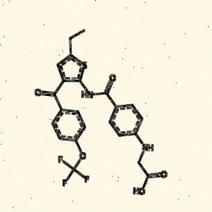 CCc1cc(C(=O)c2ccc(OC(F)(F)F)cc2)c(NC(=O)c2ccc(NCC(=O)O)cc2)s1